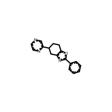 c1ccc(-c2nc3c(o2)CCC(c2cnccn2)C3)cc1